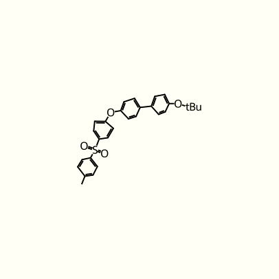 Cc1ccc(S(=O)(=O)c2ccc(Oc3ccc(-c4ccc(OC(C)(C)C)cc4)cc3)cc2)cc1